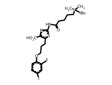 CC(C)(C)[Si](C)(C)CCCCC(=O)Nc1nc(C(=O)O)c(CCCOc2ccc(I)cc2F)s1